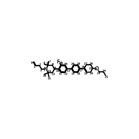 C=CCCN1C(C)(C)CC(c2ccc(-c3ccc(C4=CCC(OCCC)CC4)cc3)cc2F)CC1(C)C